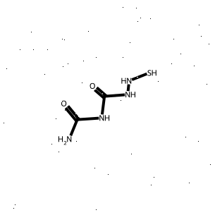 NC(=O)NC(=O)NNS